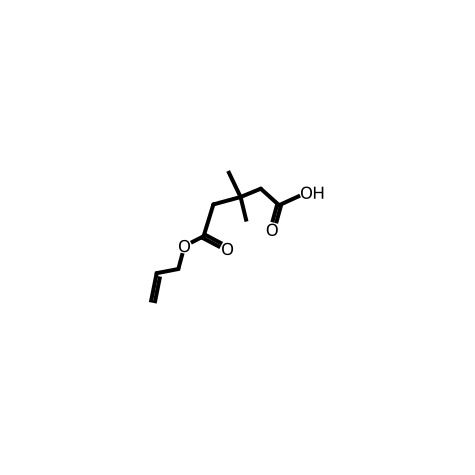 C=CCOC(=O)CC(C)(C)CC(=O)O